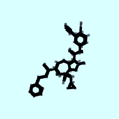 CC(CCc1ccccc1)[C@H]1CCC2=C(C(=O)Nc3ccc(F)c(C#N)c3)N(C)CC2S(=O)(=NC2CC2)N1